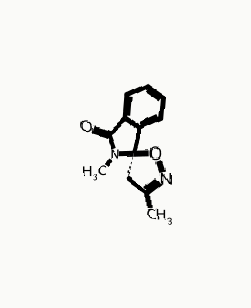 CC1=NO[C@]2(C1)c1ccccc1C(=O)N2C